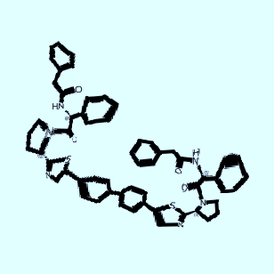 O=C(Cc1ccccc1)N[C@H](C(=O)N1CCC[C@H]1c1ncc(-c2ccc(-c3ccc(-c4cnc([C@@H]5CCCN5C(=O)[C@H](NC(=O)Cc5ccccc5)c5ccccc5)s4)cc3)cc2)s1)c1ccccc1